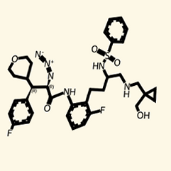 [N-]=[N+]=N[C@@H](C(=O)Nc1cccc(F)c1CCC(CNCC1(CO)CC1)NS(=O)(=O)c1ccccc1)[C@@H](c1ccc(F)cc1)C1CCOCC1